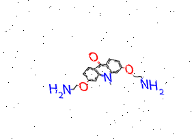 Cn1c2cc(OCCN)ccc2c(=O)c2ccc(OCCN)cc21